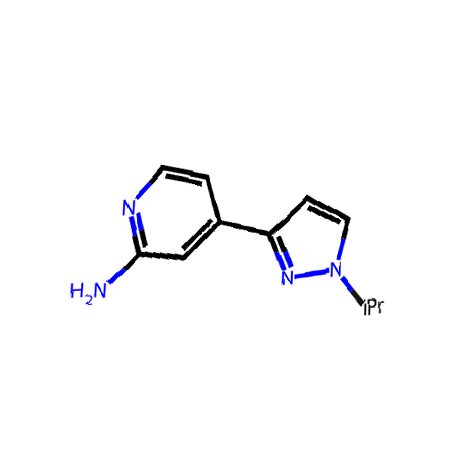 CC(C)n1ccc(-c2ccnc(N)c2)n1